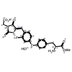 COC(=O)[C@@H](N)Cc1ccc(Oc2ccc(/C=C3\SC(=S)N(CC(=O)O)C3=O)c(F)c2)cc1.Cl